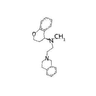 CN(CCN1CCc2ccccc2C1)[C@H]1CCOc2ccccc21